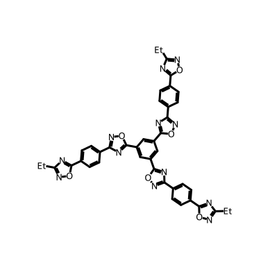 CCc1noc(-c2ccc(-c3noc(-c4cc(-c5nc(-c6ccc(-c7nc(CC)no7)cc6)no5)cc(-c5nc(-c6ccc(-c7nc(CC)no7)cc6)no5)c4)n3)cc2)n1